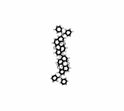 c1ccc(N(c2ccccc2)c2cc3ccc4oc5ccc(-c6ccc7oc8ccc9cc(N(c%10ccccc%10)c%10ccccc%10)cc%10oc%11ccc6c7c%11-c8c9%10)c6ccc7oc(c2)c3c4-c7c56)cc1